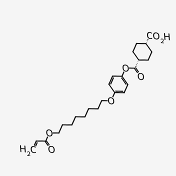 C=CC(=O)OCCCCCCCCOc1ccc(OC(=O)[C@H]2CC[C@@H](C(=O)O)CC2)cc1